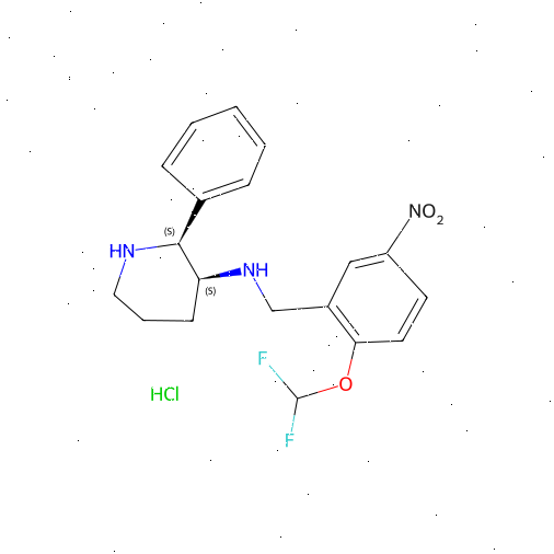 Cl.O=[N+]([O-])c1ccc(OC(F)F)c(CN[C@H]2CCCN[C@H]2c2ccccc2)c1